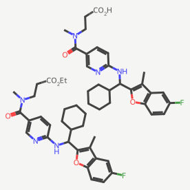 CCOC(=O)CCN(C)C(=O)c1ccc(NC(c2oc3ccc(F)cc3c2C)C2CCCCC2)nc1.Cc1c(C(Nc2ccc(C(=O)N(C)CCC(=O)O)cn2)C2CCCCC2)oc2ccc(F)cc12